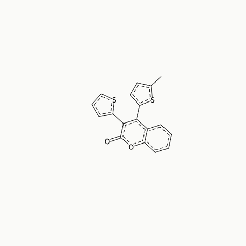 Cc1ccc(-c2c(-c3cccs3)c(=O)oc3ccccc23)s1